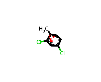 Cc1c(Cl)c2oc1cc2Cl